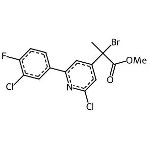 COC(=O)C(C)(Br)c1cc(Cl)nc(-c2ccc(F)c(Cl)c2)c1